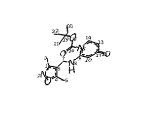 Cc1noc(C)c1CNc1cc(=O)ccn1C(=O)OC(C)(C)C